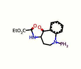 CCOC(=O)C(=O)NC1CCN(P)c2ccccc2C1=O